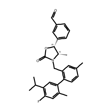 Cc1ccc(-c2cc(C(C)C)c(F)cc2C)c(CN2C(=O)O[C@H](c3cccc(C=O)c3)[C@@H]2C)c1